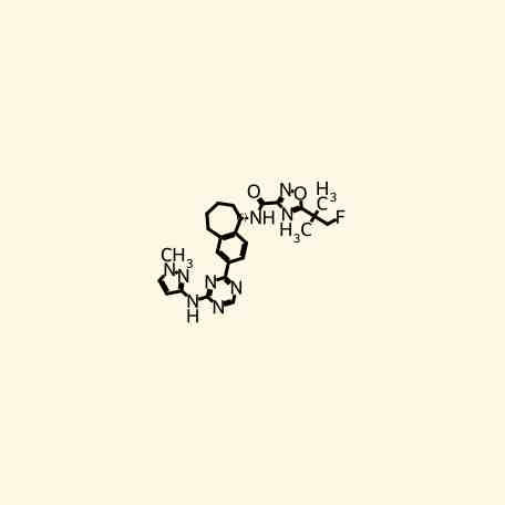 Cn1ccc(Nc2ncnc(-c3ccc4c(c3)CCCC[C@@H]4NC(=O)c3noc(C(C)(C)CF)n3)n2)n1